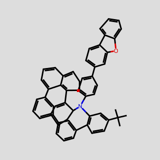 CC(C)(C)c1ccc(-c2ccccc2)c(N(c2ccc(-c3ccc4c(c3)oc3ccccc34)cc2)C2CC=CC=C2C2=c3c(-c4ccccc4)cccc3=CCC2)c1